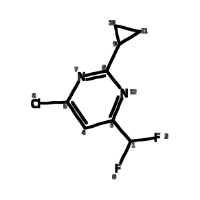 FC(F)c1cc(Cl)nc(C2CC2)n1